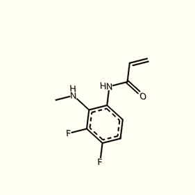 C=CC(=O)Nc1ccc(F)c(F)c1NC